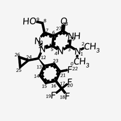 CN(C)c1nc2c(c(CO)nn2[C@@H](c2ccc(C(F)(F)F)c(F)c2)C2CC2)c(=O)[nH]1